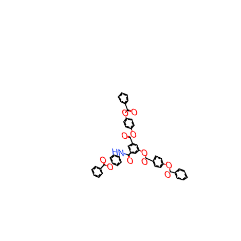 O=C(Nc1ccc(OC(=O)c2ccccc2)cc1)c1cc(OC(=O)c2ccc(OC(=O)c3ccccc3)cc2)cc(C(=O)Oc2ccc(OC(=O)c3ccccc3)cc2)c1